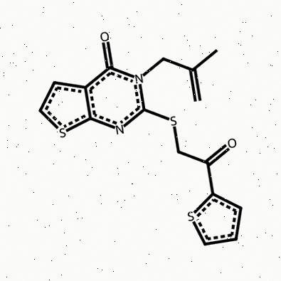 C=C(C)Cn1c(SCC(=O)c2cccs2)nc2sccc2c1=O